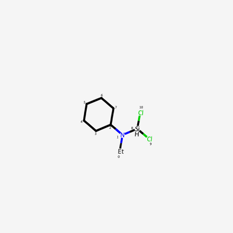 CCN(C1CCCCC1)[SiH](Cl)Cl